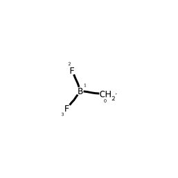 [CH2]B(F)F